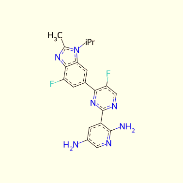 Cc1nc2c(F)cc(-c3nc(-c4cc(N)cnc4N)ncc3F)cc2n1C(C)C